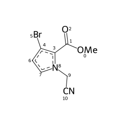 COC(=O)c1c(Br)ccn1CC#N